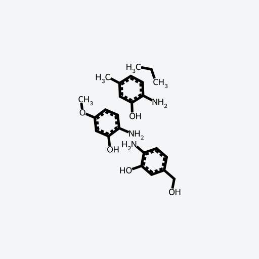 CCC.COc1ccc(N)c(O)c1.Cc1ccc(N)c(O)c1.Nc1ccc(CO)cc1O